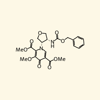 COC(=O)c1cn([C@@H]2COC[C@@H]2NC(=O)OCc2ccccc2)c(C(=O)OC)c(OC)c1=O